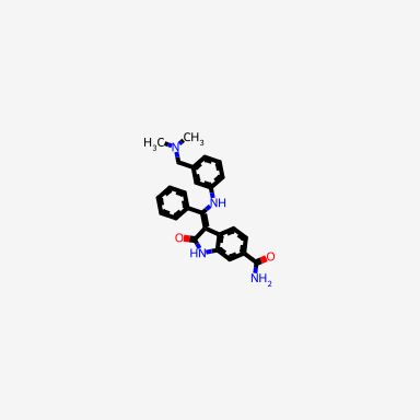 CN(C)Cc1cccc(NC(=C2C(=O)Nc3cc(C(N)=O)ccc32)c2ccccc2)c1